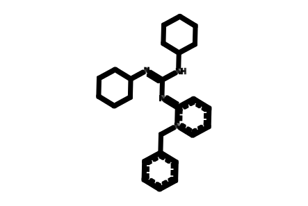 c1ccc(Cn2cccc/c2=N\C(=N/C2CCCCC2)NC2CCCCC2)cc1